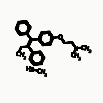 CC/C(=C(\c1ccccc1)c1ccc(OCCN(C)C)cc1)c1ccccc1.CS